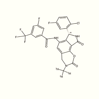 [2H]C([2H])([2H])N1Cc2cc(NC(=O)c3cc(F)cc(C(F)(F)F)c3)c3c(c2OC1=O)C(=O)N[C@H]3c1cc(F)ccc1Cl